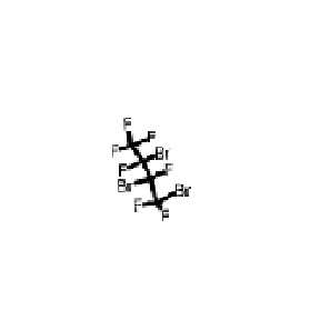 FC(F)(F)C(F)(Br)C(F)(Br)C(F)(F)Br